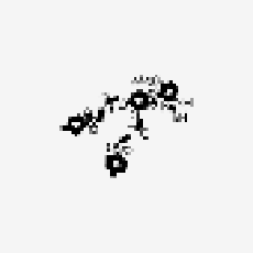 COc1ccc2[nH]c(S)nc2c1S(=O)(=O)c1ccc(OCC(=O)OCCS(=O)(=O)c2ccc(C)cc2)c(OCC(=O)OCCS(=O)(=O)c2ccc(C)cc2)c1